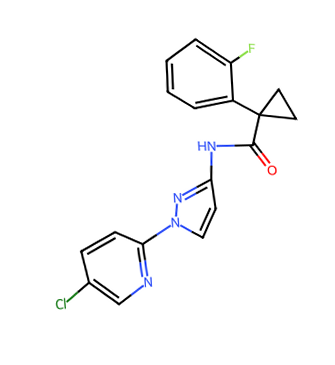 O=C(Nc1ccn(-c2ccc(Cl)cn2)n1)C1(c2ccccc2F)CC1